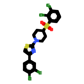 O=S(=O)(c1cccc(Cl)c1Cl)C1CCN(c2nc(-c3ccc(Cl)c(Cl)c3)cs2)CC1